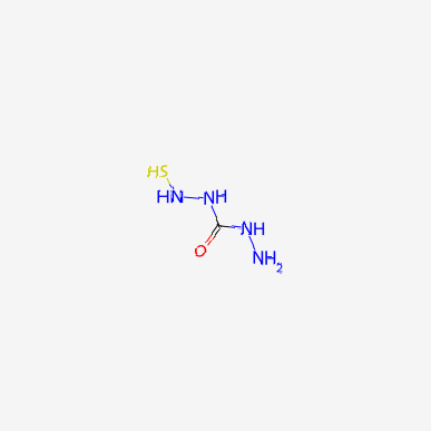 NNC(=O)NNS